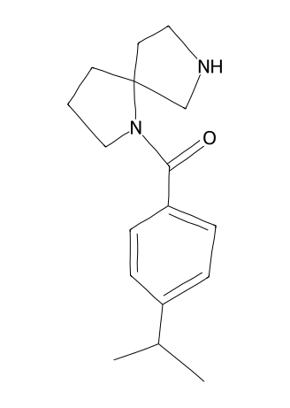 CC(C)c1ccc(C(=O)N2CCCC23CCNC3)cc1